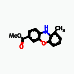 COC(=O)c1ccc2c(c1)Oc1cccc(C)c1N2